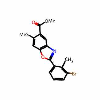 COC(=O)c1cc2nc(-c3cccc(Br)c3C)oc2cc1SC